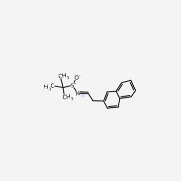 CC(C)(C)[S+]([O-])/N=C/Cc1ccc2ccccc2c1